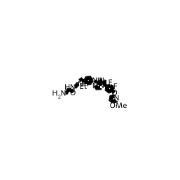 C=C(NCCNC(=O)CCN)c1ccc(Nc2nccn3c(-c4ccc(Oc5ccc(OC)cn5)c(F)c4F)cnc23)cc1CC